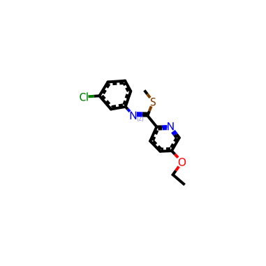 CCOc1ccc(/C(=N/c2cccc(Cl)c2)SC)nc1